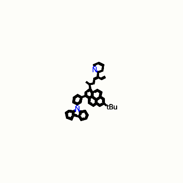 C=C/C(=C\CC(C)c1cc(-c2cccc(-n3c4ccccc4c4ccccc43)c2)c2ccc3cc(C(C)(C)C)cc4ccc1c2c34)C1CC=CC=N1